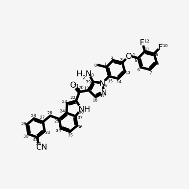 Cc1cc(Oc2cccc(F)c2F)ccc1-n1ncc(C(=O)c2cc3c(Cc4cccc(C#N)c4)cccc3[nH]2)c1N